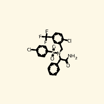 NC(=O)C(c1ccccc1)N(Cc1cc(C(F)(F)F)ccc1Cl)S(=O)(=O)c1ccc(Cl)cc1